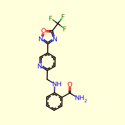 NC(=O)c1ccccc1NCc1ccc(-c2noc(C(F)(F)F)n2)cn1